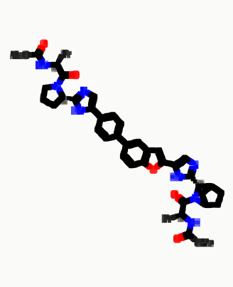 COC(=O)N[C@H](C(=O)N1CCC[C@H]1c1ncc(-c2ccc(-c3ccc4oc(-c5cnc([C@@H]6C7CCC(C7)N6C(=O)[C@@H](NC(=O)OC)C(C)C)[nH]5)cc4c3)cc2)[nH]1)C(C)C